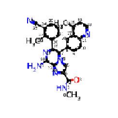 CNC(=O)c1cn2c(-c3ccc4nccc(C)c4c3)c(-c3cccc(C#N)c3C)nc(N)c2n1